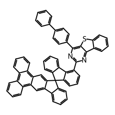 c1ccc(-c2ccc(-c3nc(-c4cccc5c4-c4ccccc4C54c5ccccc5-c5cc6c7ccccc7c7ccccc7c6cc54)nc4c3sc3ccccc34)cc2)cc1